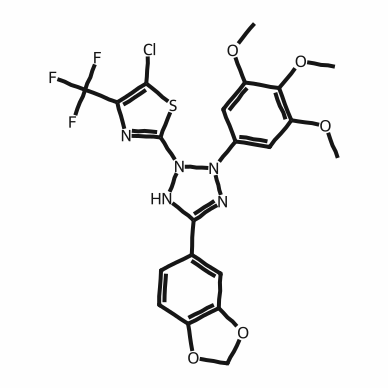 COc1cc(N2N=C(c3ccc4c(c3)OCO4)NN2c2nc(C(F)(F)F)c(Cl)s2)cc(OC)c1OC